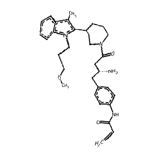 C=CC(=O)Nc1ccc(C[C@@H](N)CC(=O)N2CCCC(c3c(C)c4ccccc4n3CCCOC)C2)cc1